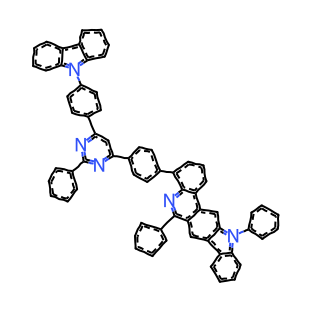 c1ccc(-c2nc(-c3ccc(-c4cccc5c4nc(-c4ccccc4)c4cc6c7ccccc7n(-c7ccccc7)c6cc45)cc3)cc(-c3ccc(-n4c5ccccc5c5ccccc54)cc3)n2)cc1